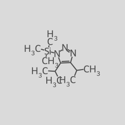 CC(C)c1nnn([Si](C)(C)C)c1C(C)C